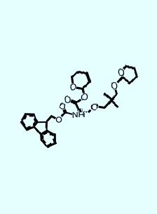 CC(C)(COC[C@H](NC(=O)OCC1c2ccccc2-c2ccccc21)C(=O)OC1CCCCO1)COC1CCCCO1